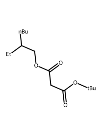 CCCCC(CC)COC(=O)CC(=O)OC(C)(C)C